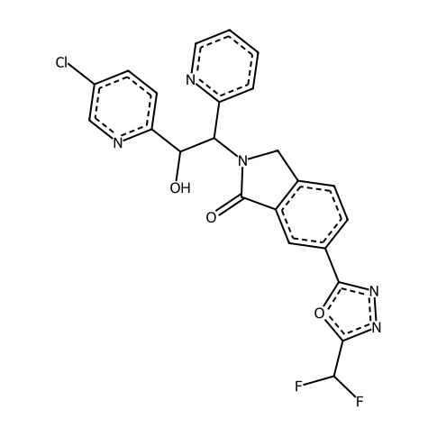 O=C1c2cc(-c3nnc(C(F)F)o3)ccc2CN1C(c1ccccn1)C(O)c1ccc(Cl)cn1